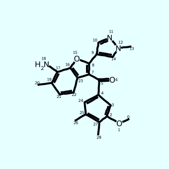 COc1cc(C(=O)c2c(-c3cnn(C)c3)oc3c(N)c(C)ccc23)cc(C)c1C